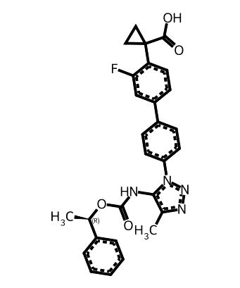 Cc1nnn(-c2ccc(-c3ccc(C4(C(=O)O)CC4)c(F)c3)cc2)c1NC(=O)O[C@H](C)c1ccccc1